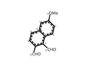 COc1ccc2c(C=O)c(C=O)ccc2c1